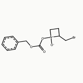 O=C(OCc1ccccc1)O[N+]1([O-])CCC1CBr